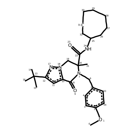 COc1ccc(CN2C(=O)c3cc(C(C)(C)C)nn3CC2(C)C(=O)NC2CCCCCCC2)cc1